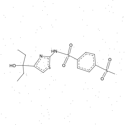 CCC(O)(CC)c1csc(NS(=O)(=O)c2ccc(S(C)(=O)=O)cc2)n1